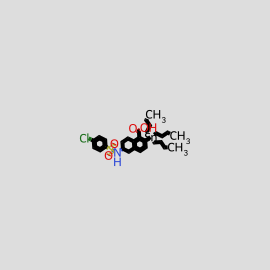 CCC[CH2][Sn]([CH2]CCC)([CH2]CCC)[c]1ccc2c(c1C(=O)O)CCC(NS(=O)(=O)c1ccc(Cl)cc1)C2